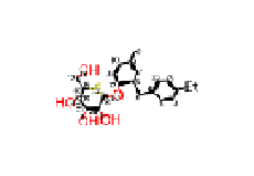 CCc1ccc(Cc2cc(C)ccc2O[C@@H]2S[C@H](CO)[C@@H](O)[C@H](O)[C@H]2O)cc1